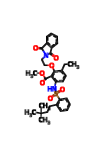 CCc1ccc(NS(=O)(=O)c2ccccc2CCC(C)(C)C)c(C(=O)OC)c1OCCN1C(=O)c2ccccc2C1=O